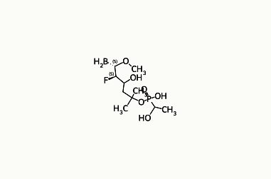 B[C@H](OC)[C@H](F)C(O)CC(C)(C)OP(=O)(O)C(C)O